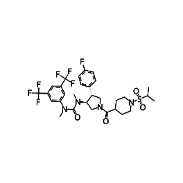 CC(C)S(=O)(=O)N1CCC(C(=O)N2C[C@@H](N(C)C(=O)N(C)c3cc(C(F)(F)F)cc(C(F)(F)F)c3)[C@H](c3ccc(F)cc3)C2)CC1